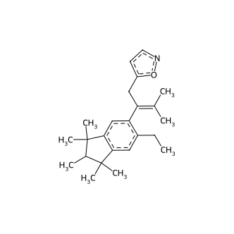 CCc1cc2c(cc1C(Cc1ccno1)=C(C)C)C(C)(C)C(C)C2(C)C